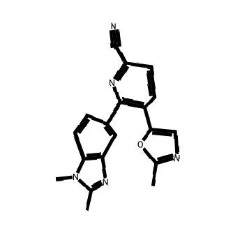 Cc1ncc(-c2ccc(C#N)nc2-c2ccc3c(c2)nc(C)n3C)o1